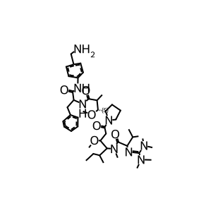 CCC(C)C(C(CC(=O)N1CCC[C@H]1C(OC)C(C)C(=O)NC(Cc1ccccc1)C(=O)Nc1ccc(CN)cc1)OC)N(C)C(=O)C(N=C(N(C)C)N(C)C)C(C)C